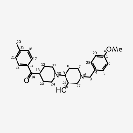 COc1ccc(CN2CCC(N3CCC(C(=O)c4ccc(C)cc4)CC3)C(O)C2)cc1